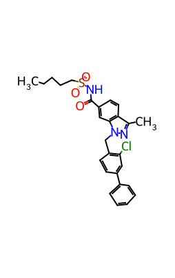 CCCCCS(=O)(=O)NC(=O)c1ccc2c(C)nn(Cc3ccc(-c4ccccc4)cc3Cl)c2c1